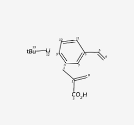 C=C(C)C(=O)O.C=Cc1ccccc1.[Li][C](C)(C)C